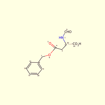 O=CN[C@@H](CC(=O)OCc1ccccc1)C(=O)O